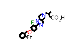 CCc1ccccc1COc1ccc(-c2ncc3c(n2)CCN(CC(C)CC(=O)O)C3)c(F)c1